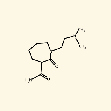 CN(C)CCN1CCCCC(C(N)=O)C1=O